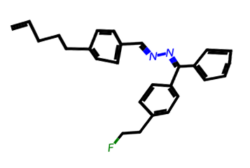 C=CCCCc1ccc(C=NN=C(c2ccccc2)c2ccc(CCF)cc2)cc1